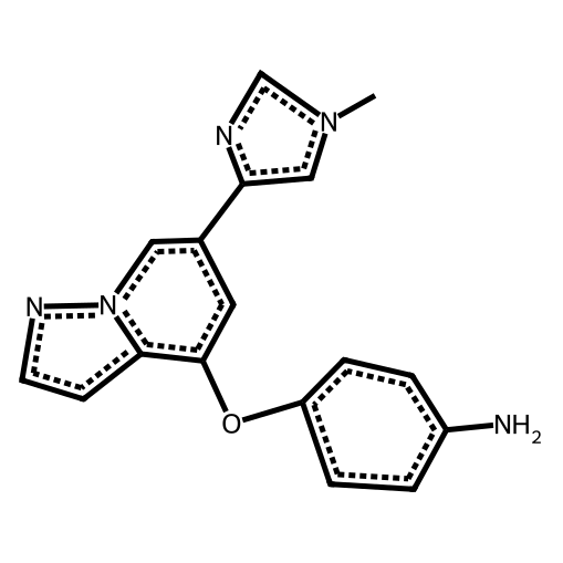 Cn1cnc(-c2cc(Oc3ccc(N)cc3)c3ccnn3c2)c1